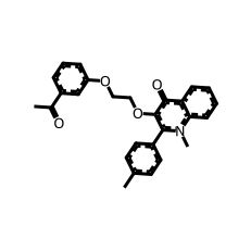 CC(=O)c1cccc(OCCOc2c(-c3ccc(C)cc3)n(C)c3ccccc3c2=O)c1